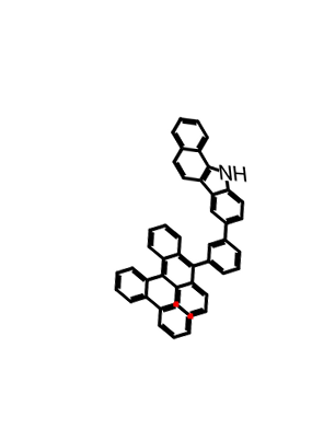 c1ccc(-c2ccccc2-c2c3ccccc3c(-c3cccc(-c4ccc5[nH]c6c7ccccc7ccc6c5c4)c3)c3ccccc23)cc1